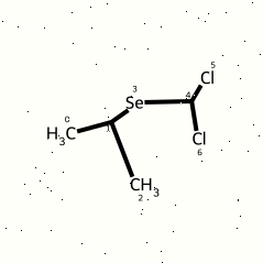 CC(C)[Se]C(Cl)Cl